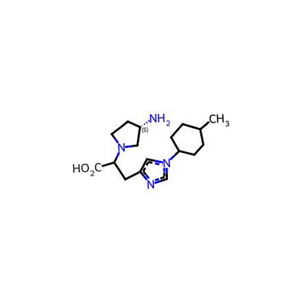 CC1CCC(n2cnc(CC(C(=O)O)N3CC[C@H](N)C3)c2)CC1